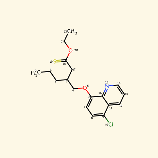 CCCC(COc1ccc(Cl)c2cccnc12)CC(=S)OCC